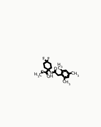 COC(=O)C1(NC(=O)Cc2c(C)cc(C)cc2C)CCC(F)(F)CC1